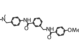 COc1ccc(C(=O)NCc2cccc(C(=O)Nc3ccc(CN(C)C)cc3)c2)cc1